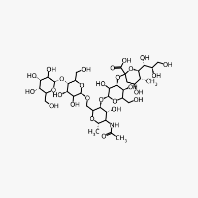 CC(=O)NC1[C@H](C)OC(CO[C@@H]2OC(CO)[C@@H](O[C@@H]3OC(CO)[C@H](O)[C@H](O)C3O)[C@H](O)C2O)[C@@H](O[C@@H]2OC(CO)[C@H](O)[C@H](OC3(C(=O)O)CC(O)[C@@H](C)[C@H]([C@H](O)[C@H](O)CO)O3)C2O)[C@@H]1O